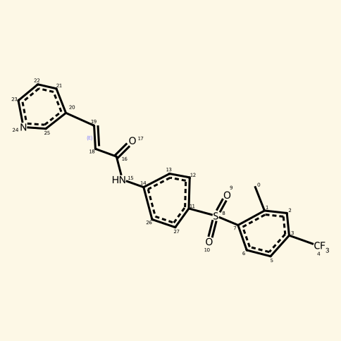 Cc1cc(C(F)(F)F)ccc1S(=O)(=O)c1ccc(NC(=O)/C=C/c2cccnc2)cc1